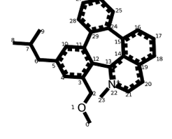 COCc1cc(CC(C)C)cc2c1-c1c3c(cccc3cc[n+]1C)-c1ccccc1-2